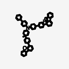 CC1(C2C=CC(c3cccc4c3oc3ccccc34)=CC2)C=CC(N(C2=CC=C(c3ccc(C4C=CC=C5c6ccccc6O[C@H]54)cc3)CC2)c2ccc(-c3ccccc3)cc2)=CC1